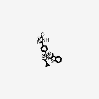 Cc1c(N(C(C)C2CC2)S(=O)(=O)c2ccc(-c3nsc(=O)[nH]3)cc2)sc2ccccc12